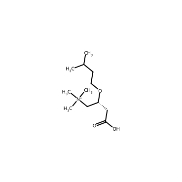 CC(C)CCO[C@H](CC(=O)O)C[N+](C)(C)C